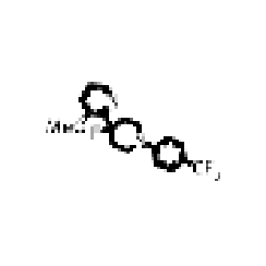 COc1cccnc1C1(F)CCN(c2ccc(C(F)(F)F)cc2)CC1